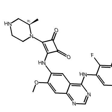 COc1cc2ncnc(Nc3cccc(Cl)c3F)c2cc1Nc1c(N2CCNC[C@H]2C)c(=O)c1=O